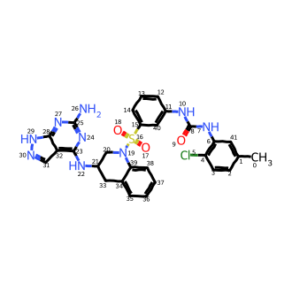 Cc1ccc(Cl)c(NC(=O)Nc2cccc(S(=O)(=O)N3CC(Nc4nc(N)nc5[nH]ncc45)Cc4ccccc43)c2)c1